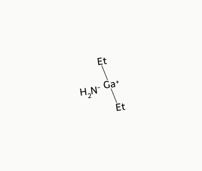 C[CH2][Ga+][CH2]C.[NH2-]